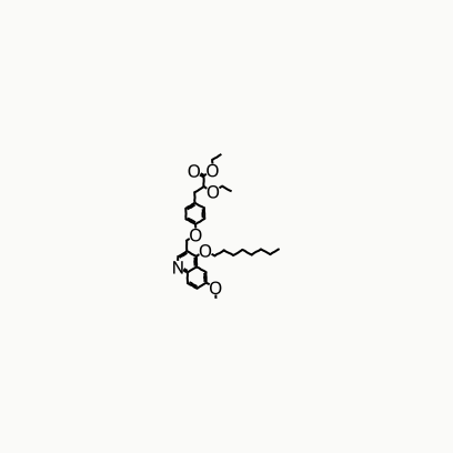 CCCCCCCCOc1c(COc2ccc(CC(OCC)C(=O)OCC)cc2)cnc2ccc(OC)cc12